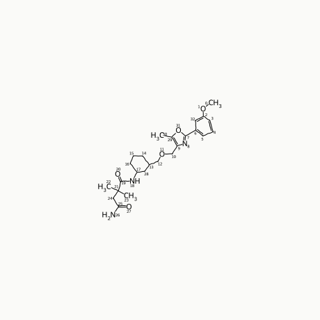 COc1cccc(-c2nc(COCC3CCCC(NC(=O)C(C)(C)CC(N)=O)C3)c(C)o2)c1